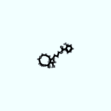 CCc1nn(CCCOC(=O)c2ccccc2F)c2c1C(=O)NCCCOCCC2